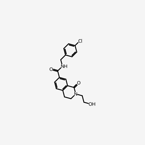 O=C(NCc1ccc(Cl)cc1)c1ccc2c(c1)C(=O)N(CCO)CC2